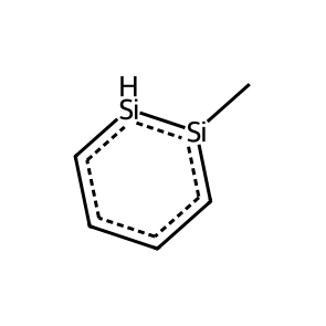 C[si]1cccc[siH]1